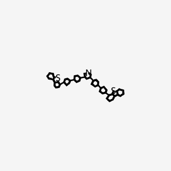 c1ccc2c(c1)sc1c(-c3ccc(-c4ccc(-c5cncc(-c6ccc(-c7ccc(-c8cccc9c8sc8ccccc89)cc7)cc6)c5)cc4)cc3)cccc12